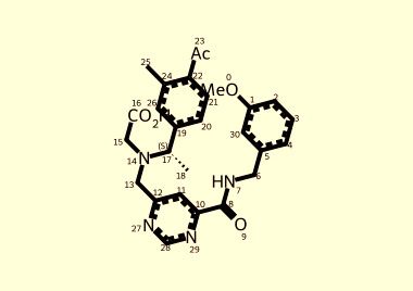 COc1cccc(CNC(=O)c2cc(CN(CC(=O)O)[C@@H](C)c3ccc(C(C)=O)c(C)c3)ncn2)c1